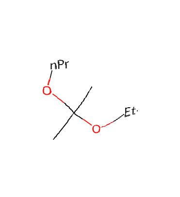 C[CH]OC(C)(C)OCCC